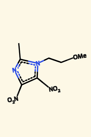 COCCn1c(C)nc([N+](=O)[O-])c1[N+](=O)[O-]